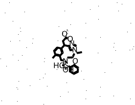 CCn1cnc(C(CC(=O)OC)c2ccc(C)c(CN3CC(C)Oc4ccccc4S3(O)O)c2)c1